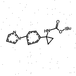 CC(C)(C)OC(=O)NC1(c2ccc(-n3cccn3)cc2)CC1